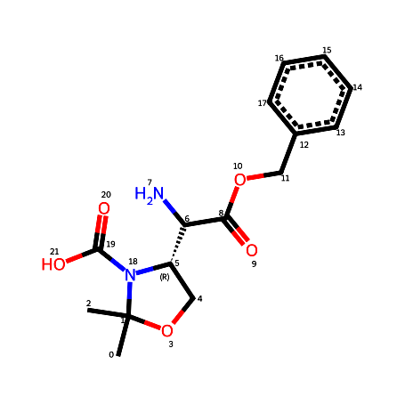 CC1(C)OC[C@@H](C(N)C(=O)OCc2ccccc2)N1C(=O)O